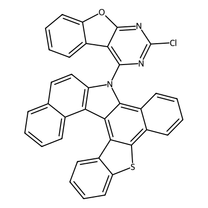 Clc1nc(-n2c3ccc4ccccc4c3c3c4c5ccccc5sc4c4ccccc4c32)c2c(n1)oc1ccccc12